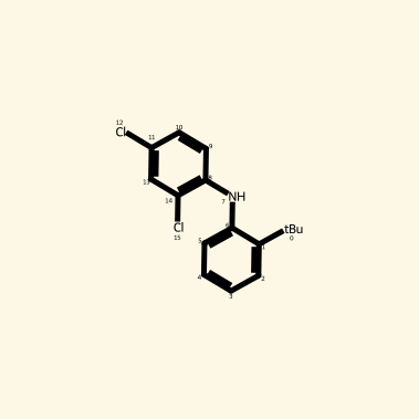 CC(C)(C)c1ccccc1Nc1ccc(Cl)cc1Cl